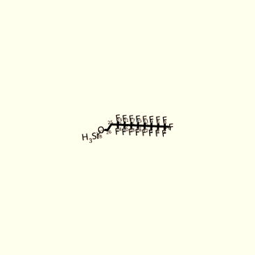 FC(F)(F)C(F)(F)C(F)(F)C(F)(F)C(F)(F)C(F)(F)C(F)(F)C(F)(F)CCO[SiH3]